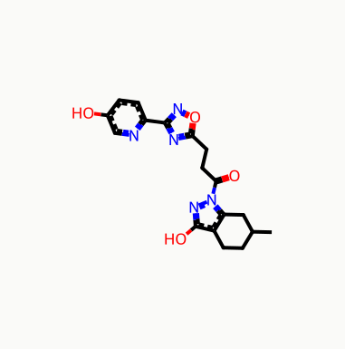 CC1CCc2c(O)nn(C(=O)CCc3nc(-c4ccc(O)cn4)no3)c2C1